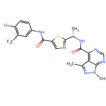 Cc1nn(C)c2ncnc(C(=O)N[C@@H](C)c3ncc(C(=O)Nc4ccc(Cl)c(C(F)(F)F)c4)s3)c12